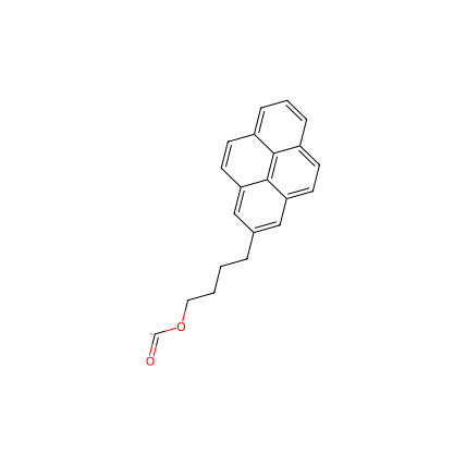 O=[C]OCCCCc1cc2ccc3cccc4ccc(c1)c2c34